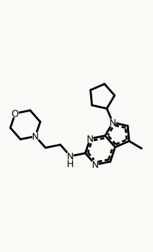 Cc1cn(C2CCCC2)c2nc(NCCN3CCOCC3)ncc12